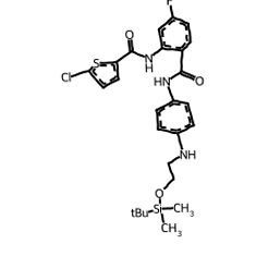 CC(C)(C)[Si](C)(C)OCCNc1ccc(NC(=O)c2ccc(F)cc2NC(=O)c2ccc(Cl)s2)cc1